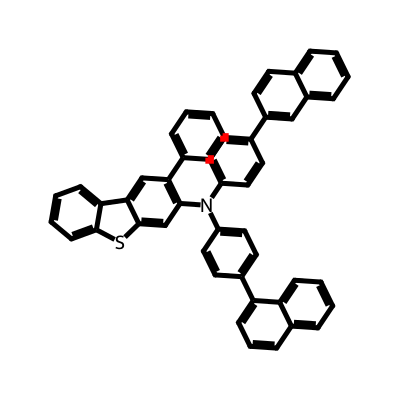 c1ccc(-c2cc3c(cc2N(c2ccc(-c4ccc5ccccc5c4)cc2)c2ccc(-c4cccc5ccccc45)cc2)sc2ccccc23)cc1